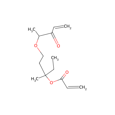 C=CC(=O)OC(C)(CC)CCOC(C)C(=O)C=C